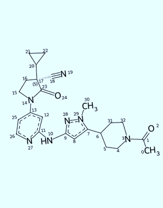 CC(=O)N1CCC(c2cc(Nc3cc(N4CC[C@@](C#N)(C5CC5)C4=O)ccn3)nn2C)CC1